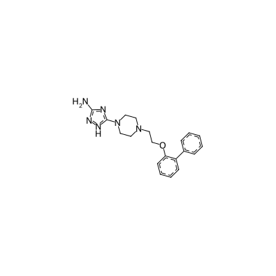 Nc1n[nH]c(N2CCN(CCOc3ccccc3-c3ccccc3)CC2)n1